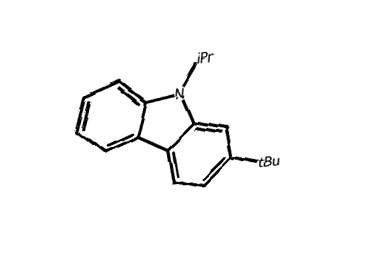 CC(C)n1c2ccccc2c2ccc(C(C)(C)C)cc21